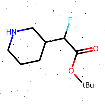 CC(C)(C)OC(=O)C(F)C1CCCNC1